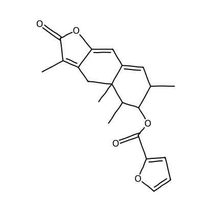 CC1=C2CC3(C)C(=CC(C)C(OC(=O)c4ccco4)C3C)C=C2OC1=O